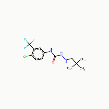 CC(C)(C)CNNC(=O)Nc1ccc(Cl)c(C(F)(F)F)c1